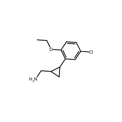 CCOc1ccc(Cl)cc1C1CC1CN